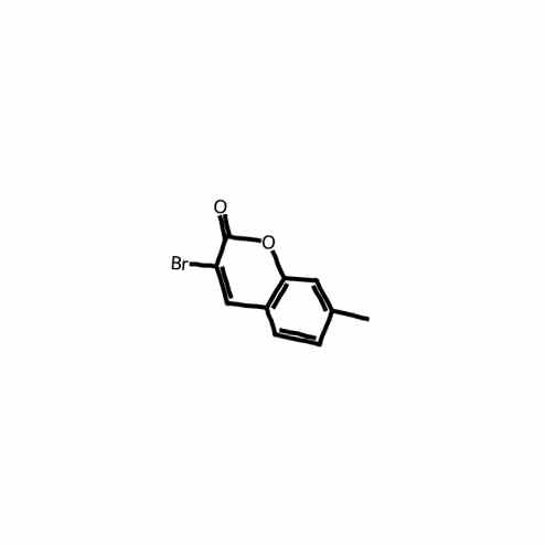 Cc1ccc2cc(Br)c(=O)oc2c1